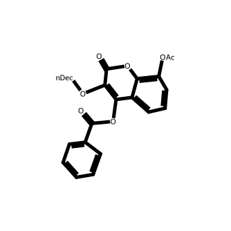 CCCCCCCCCCOc1c(OC(=O)c2ccccc2)c2cccc(OC(C)=O)c2oc1=O